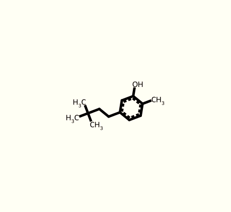 Cc1ccc(CCC(C)(C)C)cc1O